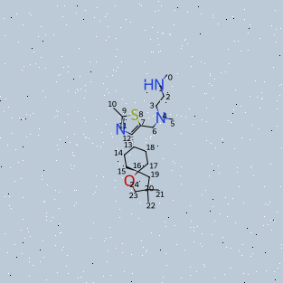 CNCCN(C)Cc1sc(C)nc1[C@H]1CC[C@@]2(CC1)CC(C)(C)CO2